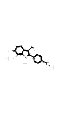 Cc1ccc2c(C=O)c(-c3ccc(C(C)C)cc3)[nH]c2c1C